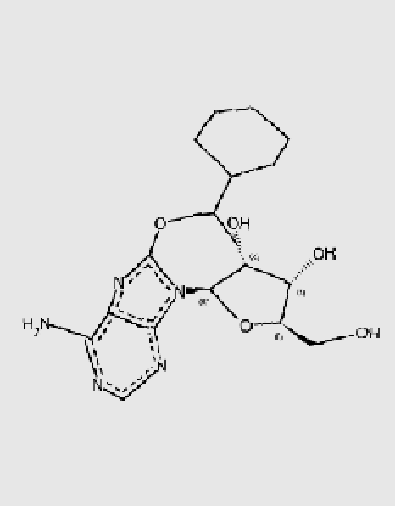 CC(Oc1nc2c(N)ncnc2n1[C@@H]1O[C@H](CO)[C@@H](O)[C@H]1O)C1CCCCC1